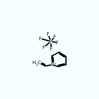 C=C[n+]1ccccc1.F[P-](F)(F)(F)(F)F